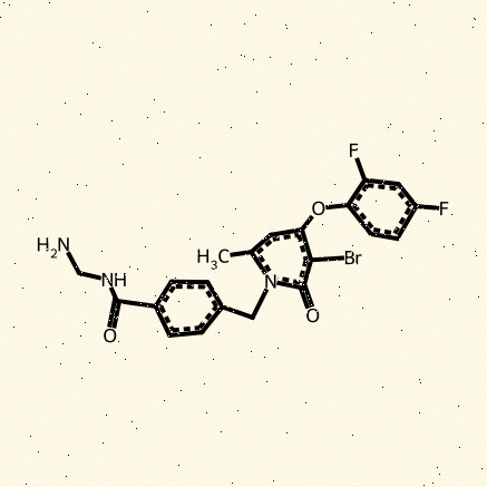 Cc1cc(Oc2ccc(F)cc2F)c(Br)c(=O)n1Cc1ccc(C(=O)NCN)cc1